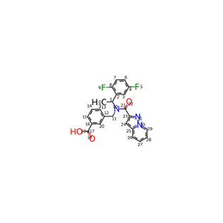 CC(c1cc(F)ccc1F)N(Cc1cccc(C(=O)O)c1)C(=O)c1cc2ccccn2n1